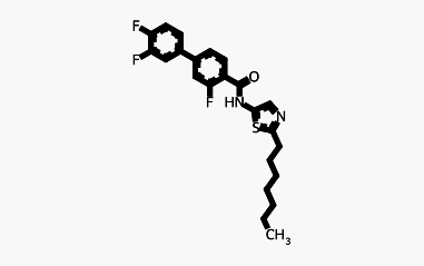 CCCCCCCc1ncc(NC(=O)c2ccc(-c3ccc(F)c(F)c3)cc2F)s1